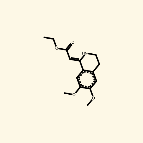 CCOC(=O)C=C1NCCc2cc(OC)c(OC)cc21